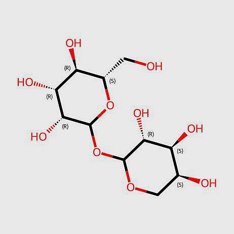 OC[C@@H]1OC(OC2OC[C@H](O)[C@H](O)[C@H]2O)[C@H](O)[C@H](O)[C@H]1O